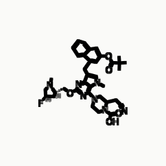 CN1C[C@H](F)C[C@H]1COc1nc(N2CCN(C(=O)O)C(CC#N)C2)c2c(n1)c(Cc1cc(OC(=O)C(C)(C)C)cc3ccccc13)cn2C